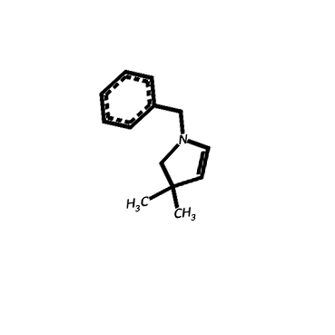 CC1(C)C=CN(Cc2ccccc2)C1